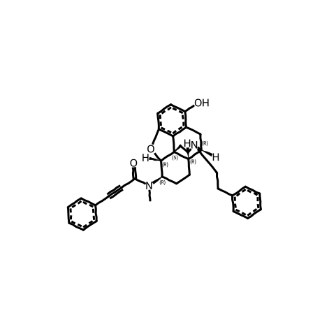 CN(C(=O)C#Cc1ccccc1)[C@@H]1CC[C@H]2[C@H]3Cc4c(O)ccc5c4[C@@]2(CCN3CCc2ccccc2)[C@H]1O5